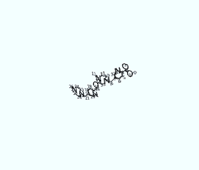 COC(=O)c1ccc(CN2CCN(C)C(OCc3ccc(CN4CCN(C)CC4)cn3)C2)cn1